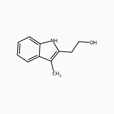 Cc1c(CCO)[nH]c2ccccc12